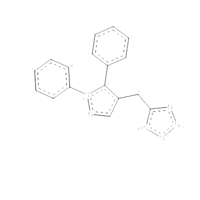 c1ccc(-c2c(Cc3nnn[nH]3)cnn2-c2ccccc2)cc1